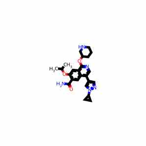 CC(C)Oc1cc2c(OC3CCCNC3)ncc(-c3cnn(C4CC4)c3)c2cc1C(N)=O